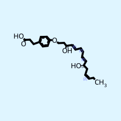 CC/C=C\C[C@H](O)/C=C/C=C\C=C\[C@@H](O)CCOc1ccc(CCC(=O)O)cc1